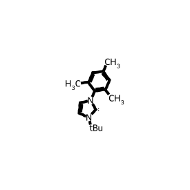 Cc1cc(C)c(N2[C]N(C(C)(C)C)C=C2)c(C)c1